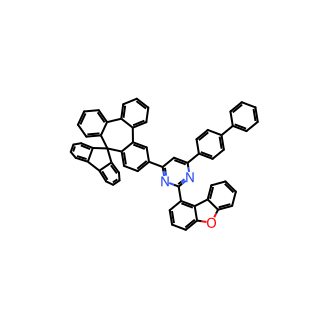 c1ccc(-c2ccc(-c3cc(-c4ccc5c(c4)-c4ccccc4-c4ccccc4C54c5ccccc5-c5ccccc54)nc(-c4cccc5oc6ccccc6c45)n3)cc2)cc1